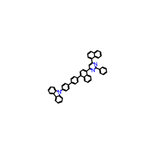 c1ccc(-c2nc(-c3cccc4ccccc34)cc(-c3ccc(-c4ccc(-c5ccc(-n6c7ccccc7c7ccccc76)cc5)cc4)c4ccccc34)n2)cc1